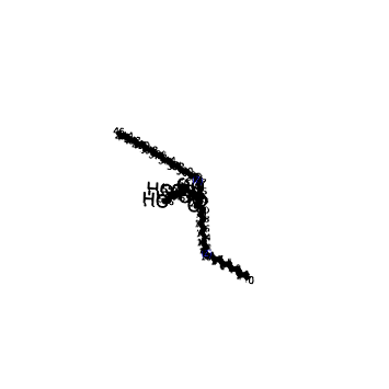 CCCCCCCCCC/C=C\CCCCCCCCCC(=O)O[C@H](CO/C=C\CCCCCCCCCCCCCCCCCC)COP(=O)(O)OC[C@@H](O)CO